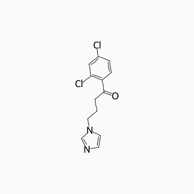 O=C(CCCn1ccnc1)c1ccc(Cl)cc1Cl